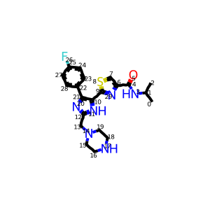 CC(C)NC(=O)c1csc(-c2[nH]c(CN3CCNCC3)nc2-c2ccc(F)cc2)n1